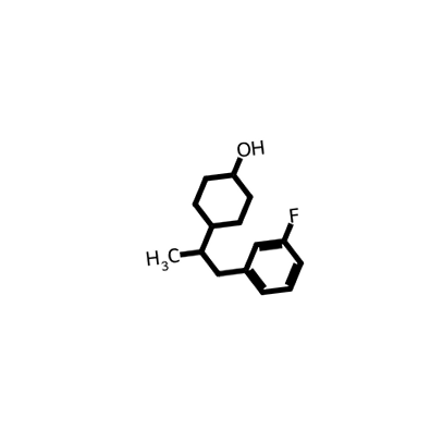 CC(Cc1cccc(F)c1)C1CCC(O)CC1